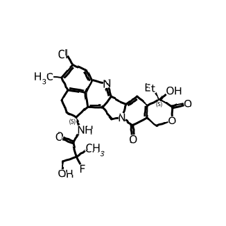 CC[C@@]1(O)C(=O)OCc2c1cc1n(c2=O)Cc2c-1nc1cc(Cl)c(C)c3c1c2[C@@H](NC(=O)C(C)(F)CO)CC3